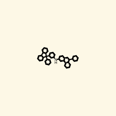 c1ccc(-c2cc3ccc(Nc4cccc(C5(c6ccccc6)c6ccccc6-c6ccccc65)c4)cc3c3ccccc23)cc1